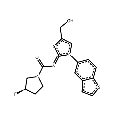 O=C(N=c1sc(CO)cn1-c1ccc2sccc2c1)N1CC[C@@H](F)C1